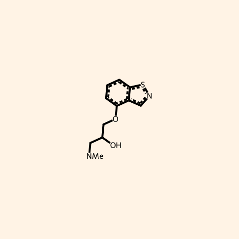 CNCC(O)COc1cccc2sncc12